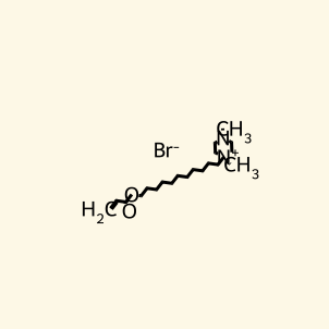 C=CC(=O)OCCCCCCCCCCC[N+]1(C)CCN(C)CC1.[Br-]